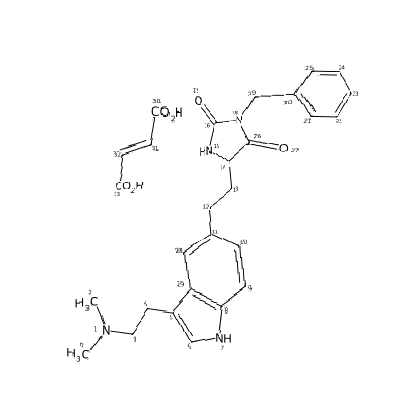 CN(C)CCc1c[nH]c2ccc(CCC3NC(=O)N(Cc4ccccc4)C3=O)cc12.O=C(O)C=CC(=O)O